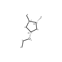 CCO[C@H]1C[C@@H](C)N(C)C1